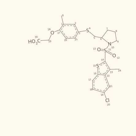 Cc1cc(SCC2CCCN2S(=O)(=O)c2sc3ccc(Cl)cc3c2C)ccc1OCC(=O)O